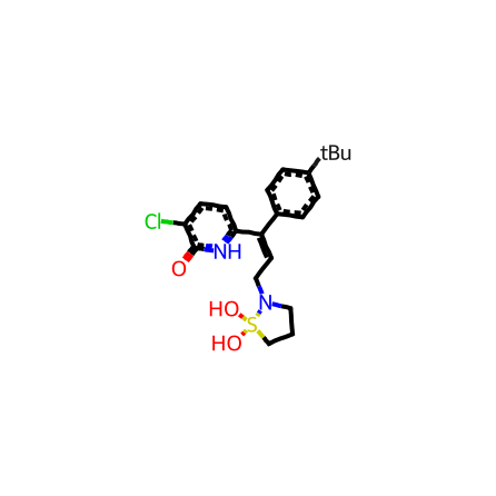 CC(C)(C)c1ccc(/C(=C/CN2CCCS2(O)O)c2ccc(Cl)c(=O)[nH]2)cc1